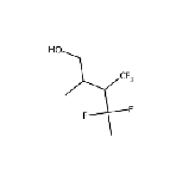 CC(CO)C(C(C)(F)F)C(F)(F)F